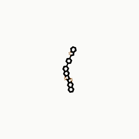 c1ccc2cc3c(cc2c1)sc1c2cc4cc(-c5ccc(-c6cc7ccccc7s6)cc5)ccc4cc2sc31